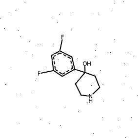 OC1(c2cc(F)cc(F)c2)CCNCC1